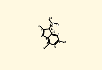 CC1=Cc2c(C)cc(C)cc2[CH]1[Zr]([CH3])[CH3]